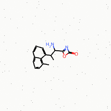 Cc1cccc2cccc(C(C)C(N)C3=NC(=O)O3)c12